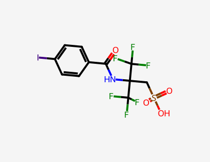 O=C(NC(CS(=O)(=O)O)(C(F)(F)F)C(F)(F)F)c1ccc(I)cc1